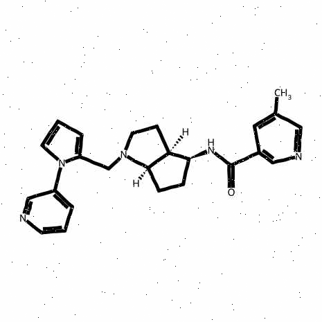 Cc1cncc(C(=O)N[C@H]2CC[C@@H]3[C@H]2CCN3Cc2cccn2-c2cccnc2)c1